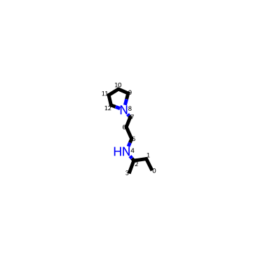 CCC(C)NCCCN1CCCC1